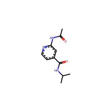 CC(=O)Nc1cc(C(=O)NC(C)C)ccn1